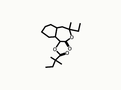 CCC1(C)CC2CCCCC2C(OC(=O)C(C)(C)CC)C(=O)O1